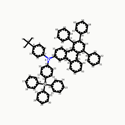 CC(C)(C)c1ccc(N(c2ccc([Si](c3ccccc3)(c3ccccc3)c3ccccc3)cc2)c2ccc3c(c2)c2ccccc2c2c(-c4ccccc4)cc(-c4ccccc4)c(-c4ccccc4)c32)cc1